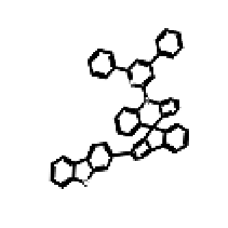 c1ccc(-c2cc(-c3ccccc3)nc(N3c4ccccc4C4(c5ccccc5-c5ccc(-c6ccc7c(c6)oc6ccccc67)cc54)c4ccccc43)c2)cc1